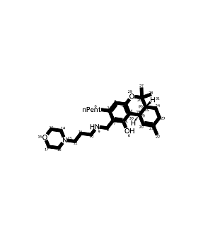 CCCCCc1cc2c(c(O)c1CNCCCN1CCOCC1)[C@@H]1C=C(C)CC[C@H]1C(C)(C)O2